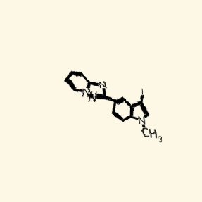 Cn1cc(I)c2cc(-c3nc4ccccn4n3)ccc21